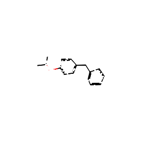 CC(C)Oc1ccc(Cc2ccccc2)cc1